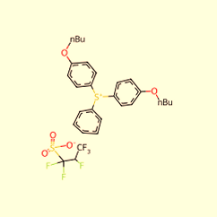 CCCCOc1ccc([S+](c2ccccc2)c2ccc(OCCCC)cc2)cc1.O=S(=O)([O-])C(F)(F)C(F)C(F)(F)F